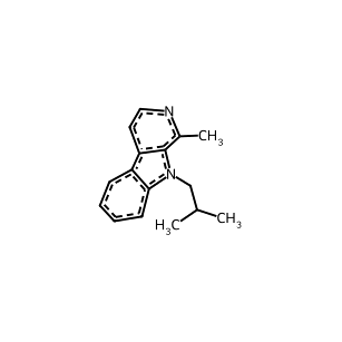 Cc1nccc2c3ccccc3n(CC(C)C)c12